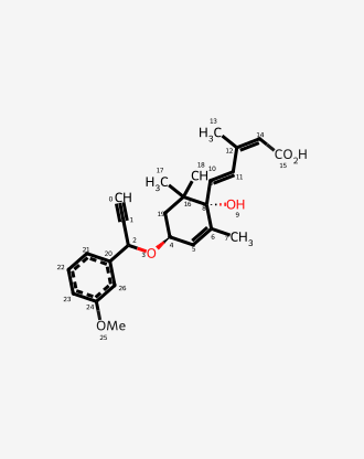 C#CC(O[C@@H]1C=C(C)[C@](O)(/C=C/C(C)=C\C(=O)O)C(C)(C)C1)c1cccc(OC)c1